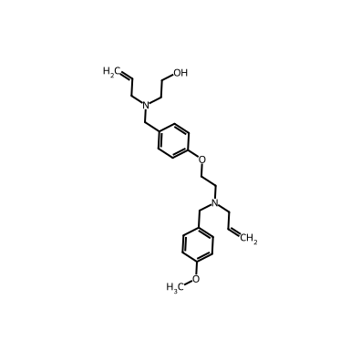 C=CCN(CCO)Cc1ccc(OCCN(CC=C)Cc2ccc(OC)cc2)cc1